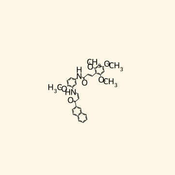 COc1cc(OC)c(/C=C/C(=O)Nc2ccc(OC)c(N/C=C\C(=O)c3ccc4ccccc4c3)c2)c(OC)c1